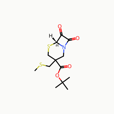 CSCC1(C(=O)OC(C)(C)C)CS[C@@H]2C(=O)C(=O)N2C1